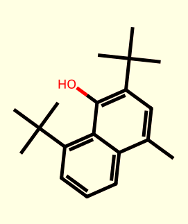 Cc1cc(C(C)(C)C)c(O)c2c(C(C)(C)C)cccc12